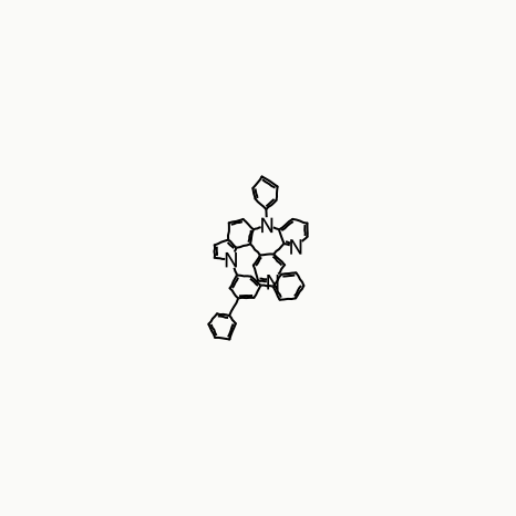 c1ccc(-c2cc(-c3ccccc3)cc(-n3ccc4ccc5c(c43)-c3ccncc3-c3ncccc3N5c3ccccc3)c2)cc1